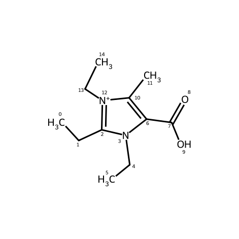 CCc1n(CC)c(C(=O)O)c(C)[n+]1CC